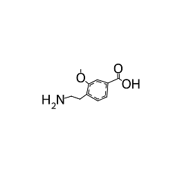 COc1cc(C(=O)O)ccc1CCN